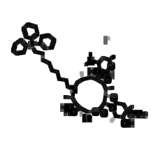 CC[C@H]1OC(=O)[C@H](C)[C@@H](O[C@H]2C[C@@](C)(OC)[C@@H](O)[C@H](C)O2)[C@H](C)[C@@H](O[C@@H]2O[C@H](C)C[C@H](N(C)C)[C@H]2O)[C@](C)(O)C[C@@H](C)CN(CCCCCCCCC[P+](c2ccccc2)(c2ccccc2)c2ccccc2)[C@H](C)[C@@H](O)[C@]1(C)O.[I-]